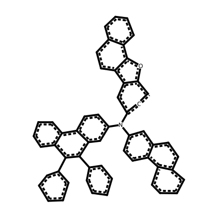 c1ccc(-c2c(-c3ccccc3)c3cc(N(c4ccc5c(ccc6ccccc65)c4)c4ccc5oc6c7ccccc7ccc6c5c4)ccc3c3ccccc23)cc1